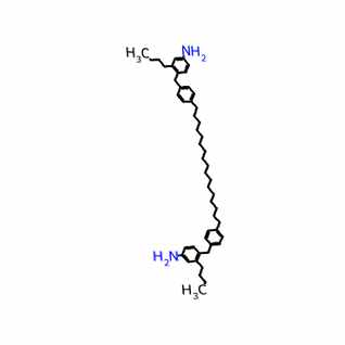 CCCCc1cc(N)ccc1Cc1ccc(CCCCCCCCCCCCCCCCCc2ccc(Cc3ccc(N)cc3CCCC)cc2)cc1